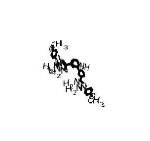 COc1ccc(N(N)/C=C(\N)c2ccc3[nH]c4ccc(/C(N)=C/N(N)c5ccc(OC)cc5)cc4c3c2)cc1